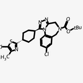 Cc1nc([C@H]2CC[C@H](c3nnc4n3-c3ccc(Cl)cc3CN(C(=O)OC(C)(C)C)C4)CC2)sc1Cl